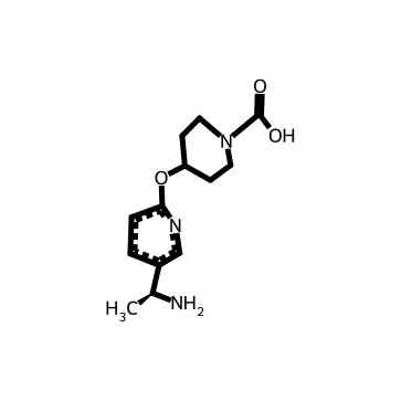 C[C@H](N)c1ccc(OC2CCN(C(=O)O)CC2)nc1